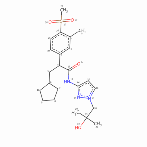 Cc1cc(C(CC2CCCC2)C(=O)Nc2ccn(CC(C)(C)O)n2)ccc1S(C)(=O)=O